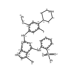 Cc1cc(Nc2nc(Nc3ccccc3S(=O)(=O)C(C)C)c3c(Br)c[nH]c3n2)c(OC(C)C)cc1C1CCNCC1